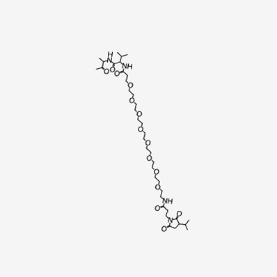 CC(=O)C(C)NC(=O)C(NC(=O)CCOCCOCCOCCOCCOCCOCCOCCOCCNC(=O)CCN1C(=O)CC(C(C)C)C1=O)C(C)C